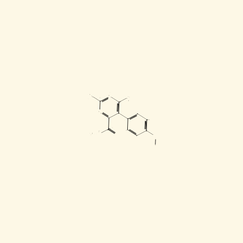 CCOc1ccc(-c2c(N)nc(N)nc2C(=O)OC)cc1